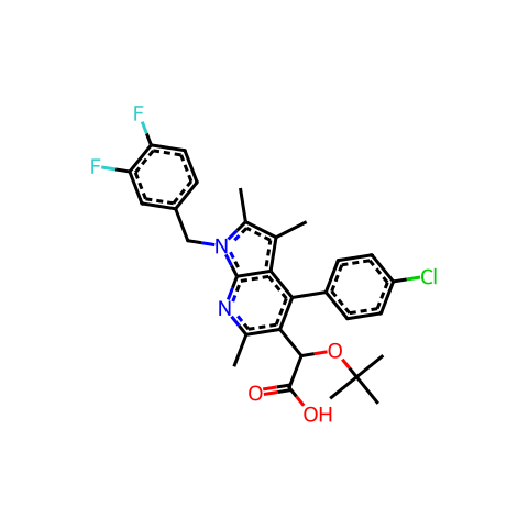 Cc1nc2c(c(C)c(C)n2Cc2ccc(F)c(F)c2)c(-c2ccc(Cl)cc2)c1C(OC(C)(C)C)C(=O)O